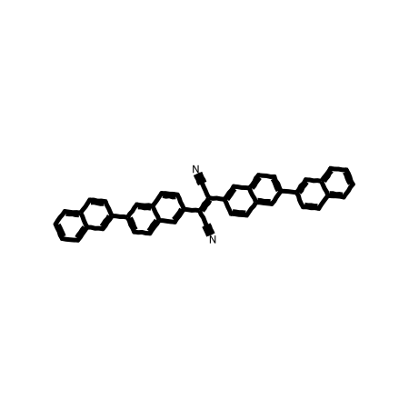 N#C/C(=C(/C#N)c1ccc2cc(-c3ccc4ccccc4c3)ccc2c1)c1ccc2cc(-c3ccc4ccccc4c3)ccc2c1